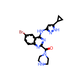 O=C(c1nc(Nc2cc(C3CC3)[nH]n2)c2cc(Br)ccc2n1)N1CCNCC1